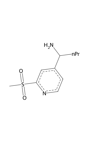 CCCC(N)c1ccnc(S(C)(=O)=O)c1